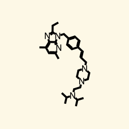 CCc1nc2c(C)cc(C)nc2n1Cc1ccc(C=CCN2CCN(CCN(C(C)C)C(C)C)CC2)cc1